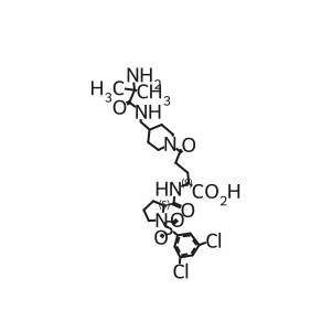 CC(C)(N)C(=O)NCC1CCN(C(=O)CC[C@H](NC(=O)[C@@H]2CCCN2S(=O)(=O)c2cc(Cl)cc(Cl)c2)C(=O)O)CC1